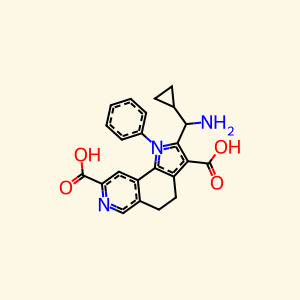 NC(c1c(C(=O)O)c2c(n1-c1ccccc1)-c1cc(C(=O)O)ncc1CC2)C1CC1